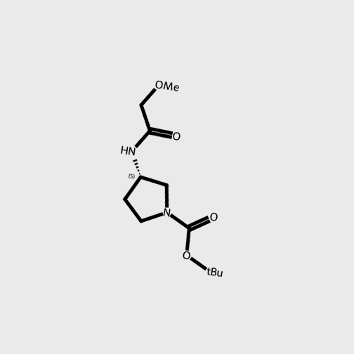 COCC(=O)N[C@H]1CCN(C(=O)OC(C)(C)C)C1